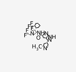 Cc1cc(-c2n[nH]c3ncc(C(=O)N[C@H]4CN(CC(F)F)C[C@@H]4c4ccccc4C(F)(F)F)cc23)ccn1